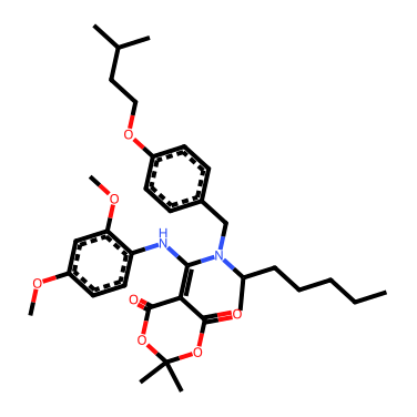 CCCCCC(C)N(Cc1ccc(OCCC(C)C)cc1)C(Nc1ccc(OC)cc1OC)=C1C(=O)OC(C)(C)OC1=O